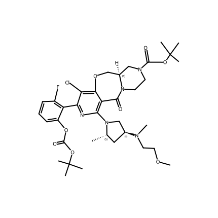 COCCN(C)[C@H]1C[C@H](C)N(c2nc(-c3c(F)cccc3OC(=O)OC(C)(C)C)c(Cl)c3c2C(=O)N2CCN(C(=O)OC(C)(C)C)C[C@@H]2CO3)C1